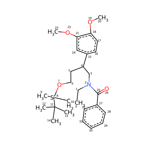 CCN(CC(CCO[Si](C)(C)C(C)(C)C)c1ccc(OC)c(OC)c1)C(=O)c1ccccc1